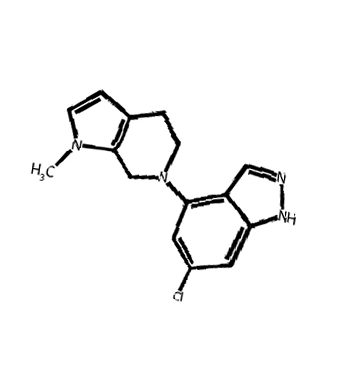 Cn1ccc2c1CN(c1cc(Cl)cc3[nH]ncc13)CC2